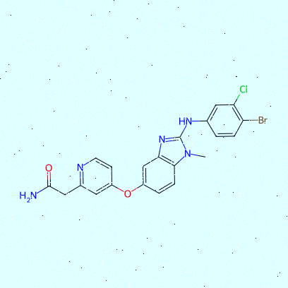 Cn1c(Nc2ccc(Br)c(Cl)c2)nc2cc(Oc3ccnc(CC(N)=O)c3)ccc21